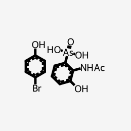 CC(=O)Nc1c(O)cccc1[As](=O)(O)O.Oc1ccc(Br)cc1